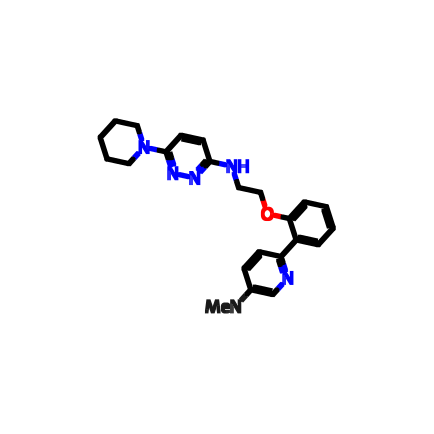 CNc1ccc(-c2ccccc2OCCNc2ccc(N3CCCCC3)nn2)nc1